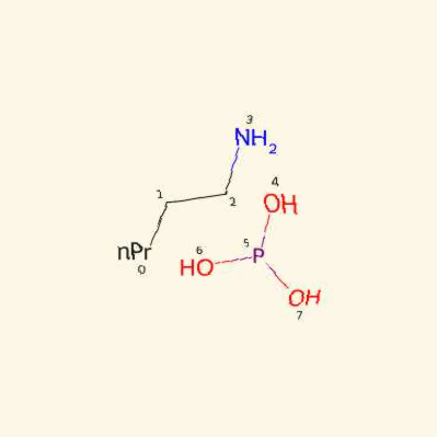 CCCCCN.OP(O)O